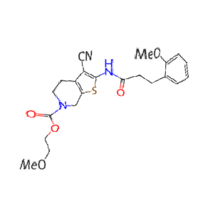 COCCOC(=O)N1CCc2c(sc(NC(=O)CCc3ccccc3OC)c2C#N)C1